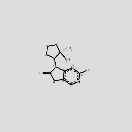 C[C@@]1(O)CCC[C@@H]1N1C(=O)Cc2cnc(Cl)nc21